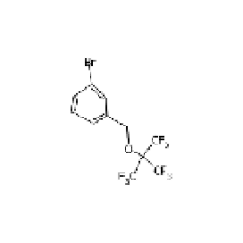 FC(F)(F)C(OCc1cccc(Br)c1)(C(F)(F)F)C(F)(F)F